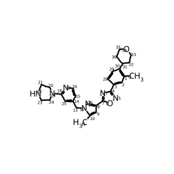 Cc1cc(-c2noc(-c3cc(C)n(Cc4ccnc(N5CCNCC5)c4)n3)n2)ccc1C1CCOCC1